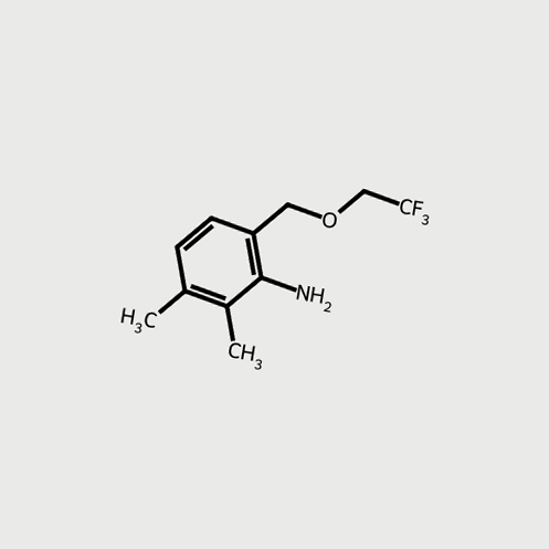 Cc1ccc(COCC(F)(F)F)c(N)c1C